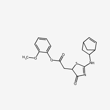 COc1ccccc1OC(=O)CC1SC(NC2CC3C=CC2C3)=NC1=O